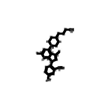 CSc1cc(C(C)C)ccc1-n1cc(C)c2c(N3CCC(CCCO)CC3)cc(C)nc21